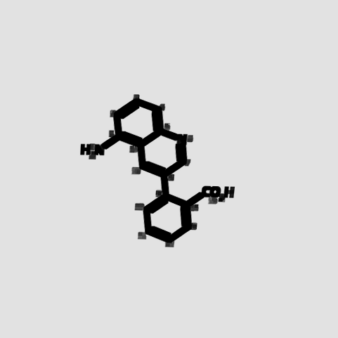 Nc1cccc2ncc(-c3ccccc3C(=O)O)cc12